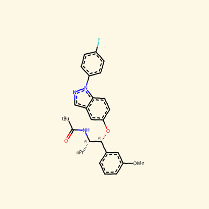 CCC[C@H](NC(=O)C(C)(C)C)[C@H](Oc1ccc2c(cnn2-c2ccc(F)cc2)c1)c1cccc(OC)c1